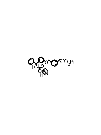 O=C(O)Cc1cccc(COc2cccc([C@@H](NC(=O)O[C@H]3CN4CCC3CC4)c3ccccc3)c2)c1